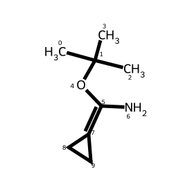 CC(C)(C)OC(N)=C1CC1